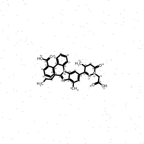 CCCCc1nc2c(C)cc(C3=NN(CC(=O)O)C(=O)CC3C)cc2n1-c1ccccc1-c1ccccc1C(=O)O